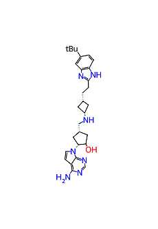 CC(C)(C)c1ccc2[nH]c(CC[C@H]3C[C@@H](NC[C@@H]4C[C@@H](O)[C@H](n5ccc6c(N)ncnc65)C4)C3)nc2c1